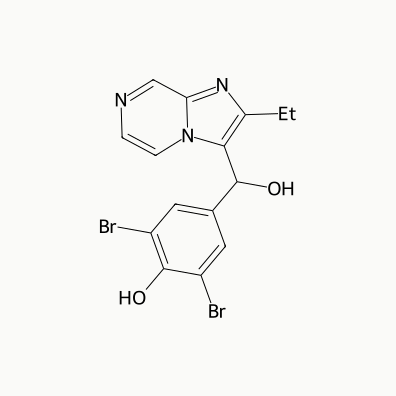 CCc1nc2cnccn2c1C(O)c1cc(Br)c(O)c(Br)c1